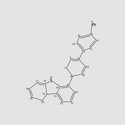 CC(C)c1ccc(C2=CCC(c3cccc4c3SC3=CC=CCC34)C=C2)cc1